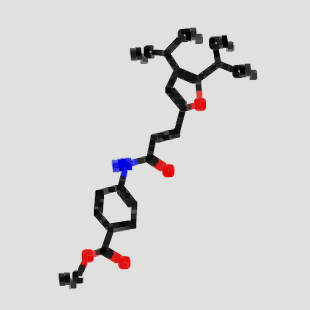 COC(=O)c1ccc(NC(=O)C=Cc2cc(C(C)C)c(C(C)C)o2)cc1